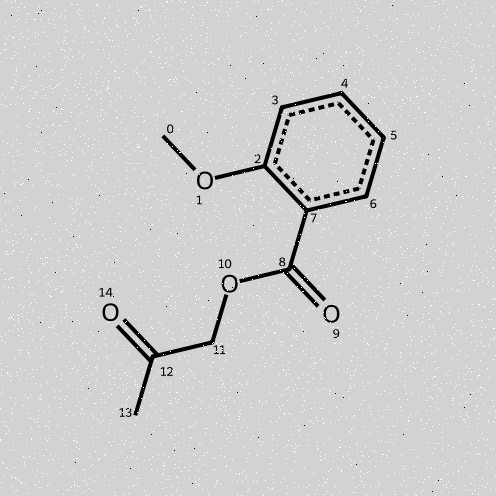 COc1ccccc1C(=O)OCC(C)=O